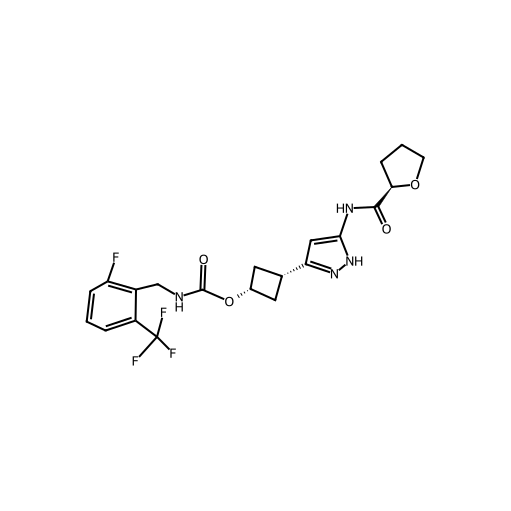 O=C(NCc1c(F)cccc1C(F)(F)F)O[C@H]1C[C@@H](c2cc(NC(=O)[C@H]3CCCO3)[nH]n2)C1